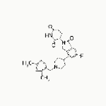 Cc1ccc(CN2CCC(c3cc(F)cc4c3CN(C3CCC(=O)NC3=O)C4=O)CC2)c(C)c1